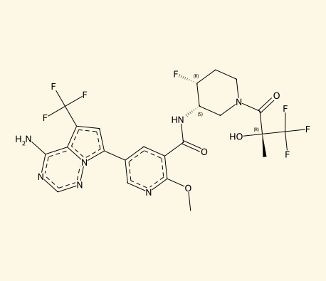 COc1ncc(-c2cc(C(F)(F)F)c3c(N)ncnn23)cc1C(=O)N[C@H]1CN(C(=O)[C@@](C)(O)C(F)(F)F)CC[C@H]1F